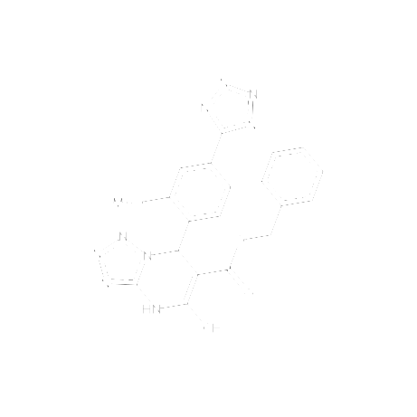 COc1cc(-c2nnn[nH]2)ccc1C1C(C(=O)OCc2ccccc2)=C(C)Nc2nnnn21